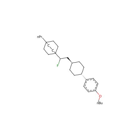 CCCCOc1ccc([C@H]2CC[C@H](CC(F)C34CCC(CCC)(CC3)CC4)CC2)cc1